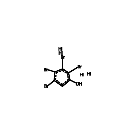 I.I.I.I.Oc1cc(Br)c(Br)c(Br)c1Br